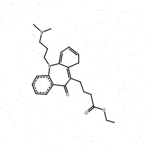 CCOC(=O)CCCC1=C2CC=CC=C2N(CCCN(C)C)c2ccccc2C1=O